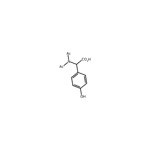 CC(=O)N(C(C)=O)C(C(=O)O)c1ccc(O)cc1